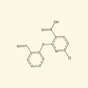 O=Cc1ccccc1Oc1nc(Cl)ccc1C(=O)O